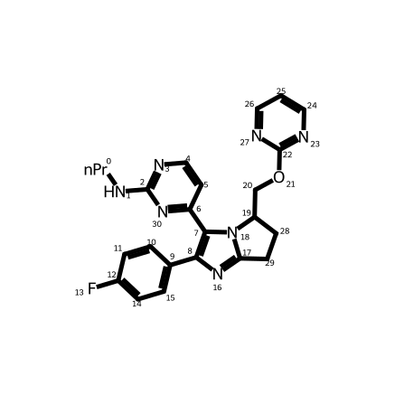 CCCNc1nccc(-c2c(-c3ccc(F)cc3)nc3n2C(COc2ncccn2)CC3)n1